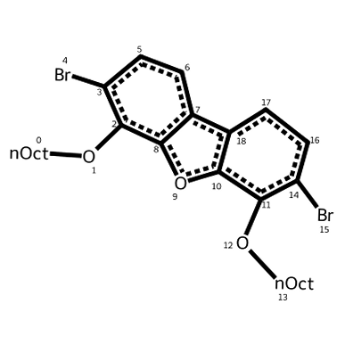 CCCCCCCCOc1c(Br)ccc2c1oc1c(OCCCCCCCC)c(Br)ccc12